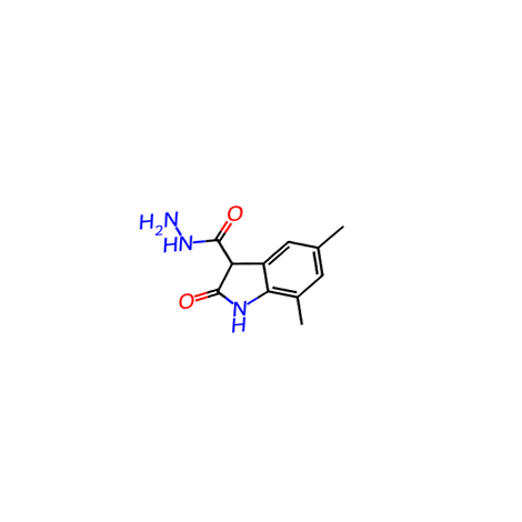 Cc1cc(C)c2c(c1)C(C(=O)NN)C(=O)N2